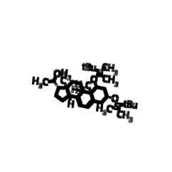 CC(O)[C@H]1CC[C@H]2C3=CC=C4C[C@@H](O[Si](C)(C)C(C)(C)C)C[C@H](O[Si](C)(C)C(C)(C)C)[C@]4(C)[C@H]3CC[C@]12C